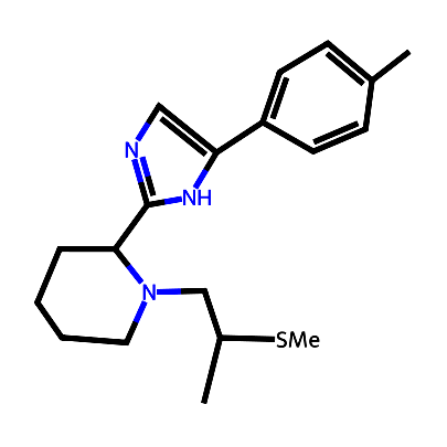 CSC(C)CN1CCCCC1c1ncc(-c2ccc(C)cc2)[nH]1